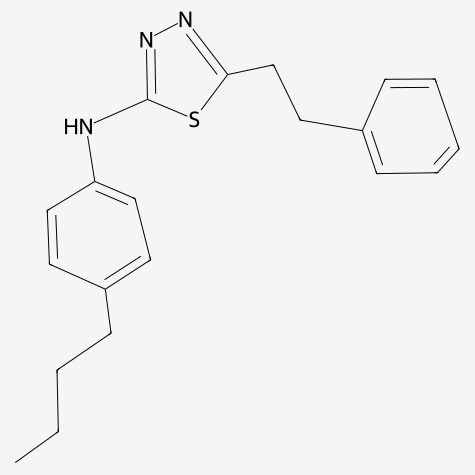 CCCCc1ccc(Nc2nnc(CCc3ccccc3)s2)cc1